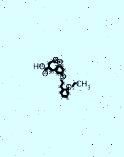 CCCOc1ccccc1CCCOc1ccc2c(c1)C=C(C(=O)O)CCS2(=O)=O